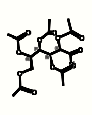 CC(=O)OC[C@@H](OC(C)=O)[C@@H](OC(C)=O)[C@H](OC(C)=O)[C@@H](OC(C)=O)C(=O)Cl